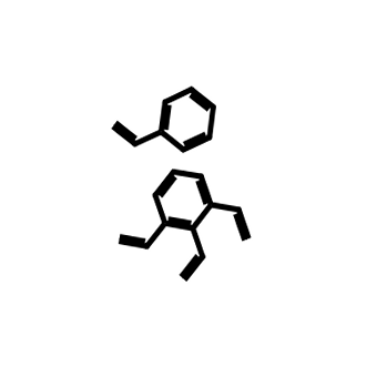 C=Cc1cccc(C=C)c1C=C.C=Cc1ccccc1